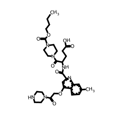 CCCCOC(=O)N1CCN(C(=O)C(CCC(=O)O)NC(=O)c2cc(OCC(=O)N3CCNCC3)c3ccc(C)cc3n2)CC1